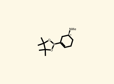 CN[C@H]1CCC=C(B2OC(C)(C)C(C)(C)O2)C1